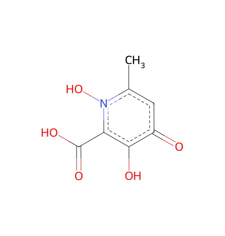 Cc1cc(=O)c(O)c(C(=O)O)n1O